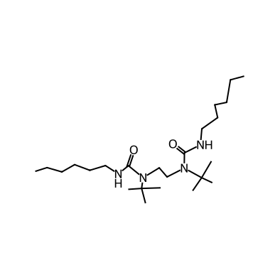 CCCCCCNC(=O)N(CCN(C(=O)NCCCCCC)C(C)(C)C)C(C)(C)C